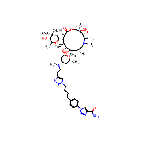 CC[C@H]1OC(=O)[C@H](C)C([C@H]2C[C@@](C)(OC)[C@@H](O)[C@H](C)O2)[C@H](C)[C@@H](O[C@H]2C[C@@H](N(C)CCc3cn(CCCCc4ccc(-n5cc(C(N)=O)nn5)cc4)nn3)C[C@@H](C)O2)[C@](C)(O)C[C@@H](C)CN(C)[C@H](C)[C@@H](O)[C@]1(C)O